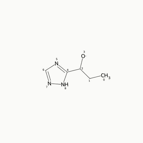 CCC([O])c1ncn[nH]1